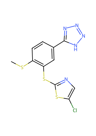 CSc1ccc(-c2nnn[nH]2)cc1Sc1ncc(Cl)s1